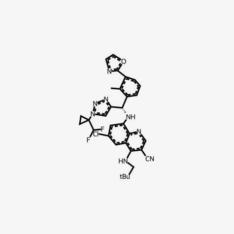 Cc1c(-c2ncco2)cccc1[C@H](Nc1cc(Cl)cc2c(NCC(C)(C)C)c(C#N)cnc12)c1cn(C2(C(F)F)CC2)nn1